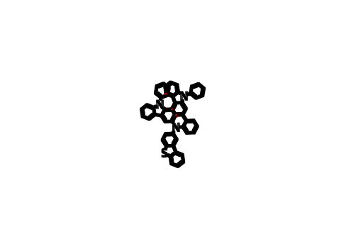 c1ccc(-n2c3ccccc3c3cc(N(c4ccc5sc6ccccc6c5c4)c4ccccc4-c4ccc5c6ccccc6n(-c6ccccc6)c5c4)ccc32)cc1